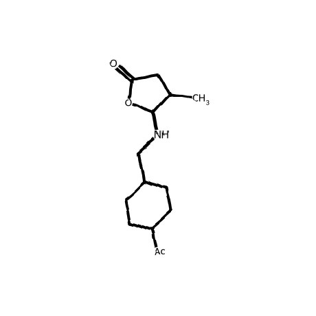 CC(=O)C1CCC(CNC2OC(=O)CC2C)CC1